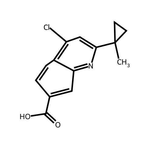 CC1(c2cc(Cl)c3ccc(C(=O)O)cc3n2)CC1